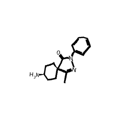 CC1=NN(c2ccccc2)C(=O)[C@]12CC[C@H](N)CC2